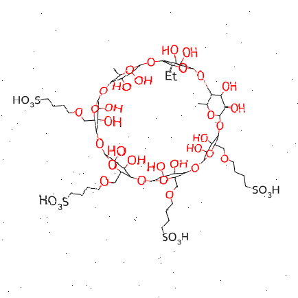 CCC1OC2OC3C(C)OC(OC4C(COCCCCS(=O)(=O)O)OC(OC5C(COCCCCS(=O)(=O)O)OC(OC6C(COCCCCS(=O)(=O)O)OC(OC7C(COCCCCS(=O)(=O)O)OC(OC8C(C)OC(OC1C(O)C2O)C(O)C8O)C(O)C7O)C(O)C6O)C(O)C5O)C(O)C4O)C(O)C3O